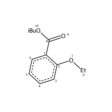 CCOc1ccccc1C(=O)OCC(C)C